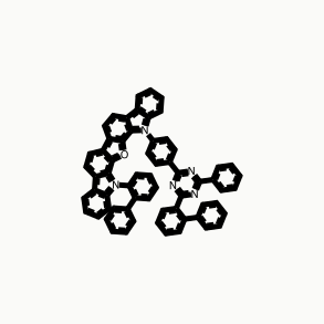 c1ccc(-c2nc(-c3ccc(-n4c5ccccc5c5ccc6c7ccc8c9ccccc9n(-c9ccccc9-c9ccccc9)c8c7oc6c54)cc3)nc(-c3ccccc3-c3ccccc3)n2)cc1